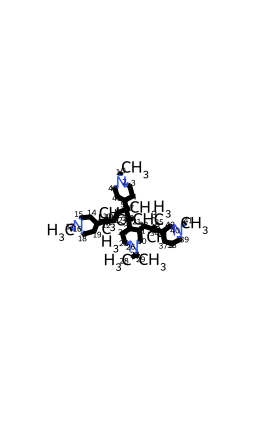 CCN1CCC(C(C)(CCC(C)(C)C2CCN(C)CC2)C(C)(C)C2CCN(C(C)C)CC2CC(C)(C)C2CCCN(C)C2)CC1